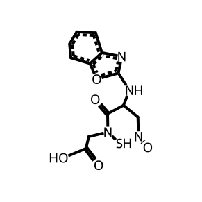 O=NCC(Nc1nc2ccccc2o1)C(=O)N(S)CC(=O)O